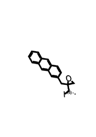 C[C@H](I)C1(Cc2ccc3cc4ccccc4cc3c2)CO1